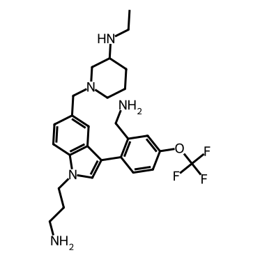 CCNC1CCCN(Cc2ccc3c(c2)c(-c2ccc(OC(F)(F)F)cc2CN)cn3CCCN)C1